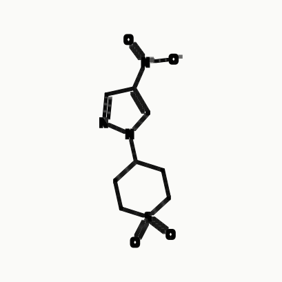 O=[N+]([O-])c1cnn(C2CCS(=O)(=O)CC2)c1